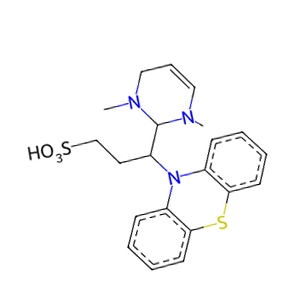 CN1C=CCN(C)C1C(CCS(=O)(=O)O)N1c2ccccc2Sc2ccccc21